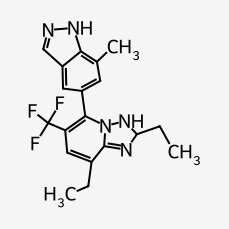 CCC1=CC(C(F)(F)F)=C(c2cc(C)c3[nH]ncc3c2)N2NC(CC)N=C12